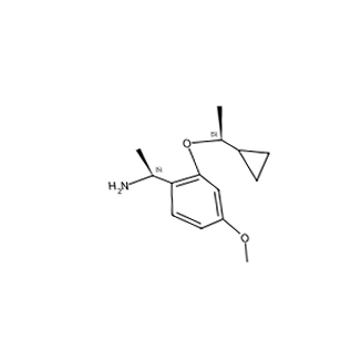 COc1ccc([C@H](C)N)c(O[C@@H](C)C2CC2)c1